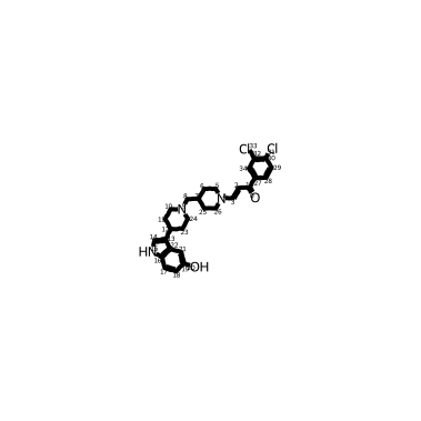 O=C(/C=C/N1CCC(CN2CCC(c3c[nH]c4ccc(O)cc34)CC2)CC1)c1ccc(Cl)c(Cl)c1